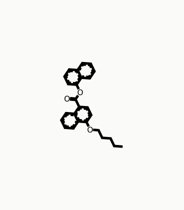 CCCCCOc1ccc(C(=O)Oc2cccc3ccccc23)c2ccccc12